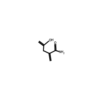 C=C(O)CC(=C)C(N)=O